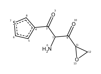 NC(C(=O)c1ccsc1)C(=O)C1CO1